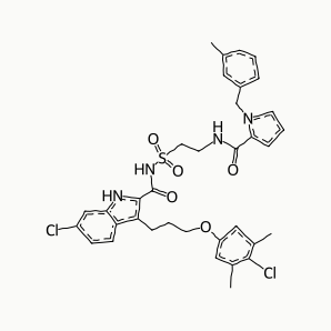 Cc1cccc(Cn2cccc2C(=O)NCCS(=O)(=O)NC(=O)c2[nH]c3cc(Cl)ccc3c2CCCOc2cc(C)c(Cl)c(C)c2)c1